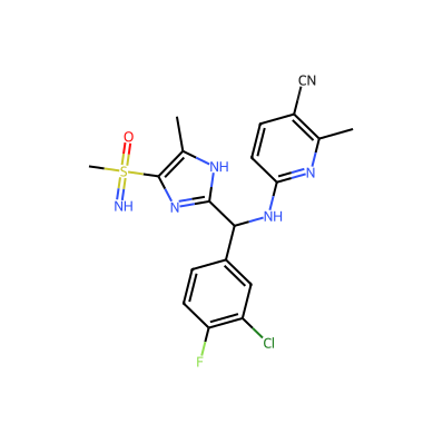 Cc1nc(NC(c2ccc(F)c(Cl)c2)c2nc(S(C)(=N)=O)c(C)[nH]2)ccc1C#N